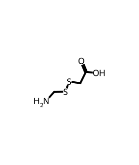 NCSSCC(=O)O